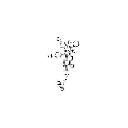 CS(=O)(=O)CCCN1CCN(C(=O)C(=O)c2ccc3n(c2=O)[C@@H](c2ccc(Cl)cc2)[C@@H](c2ccc(Cl)cc2)N3S(=O)(=O)c2ccccc2F)CC1